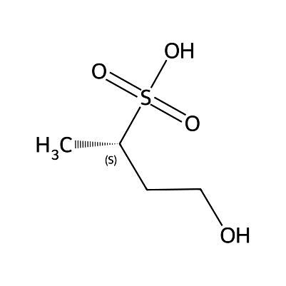 C[C@@H](CCO)S(=O)(=O)O